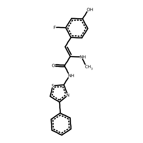 CN/C(=C\c1ccc(O)cc1F)C(=O)Nc1nc(-c2ccccc2)cs1